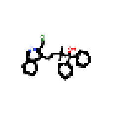 CC(C)(CCc1c(CCl)ncc2ccccc12)[Si](O)(c1ccccc1)c1ccccc1